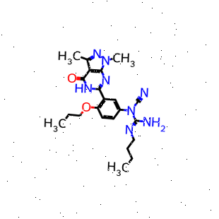 CCCCN=C(N)N(C#N)c1ccc(OCCC)c(-c2nc3c(c(C)nn3C)c(=O)[nH]2)c1